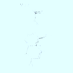 COC(=O)/C=C/c1ccc2cc(C)ccc2c1F